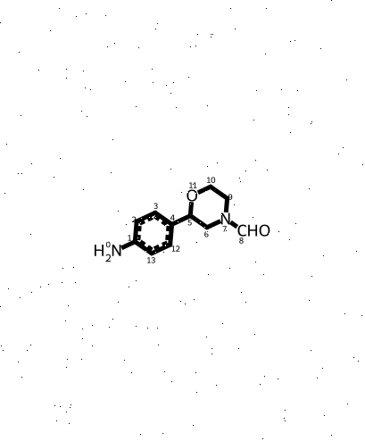 Nc1ccc(C2CN(C=O)CCO2)cc1